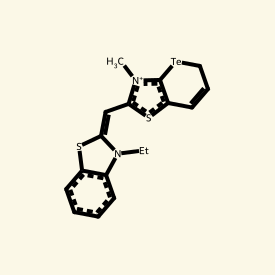 CCN1C(=Cc2sc3c([n+]2C)[Te]CC=C3)Sc2ccccc21